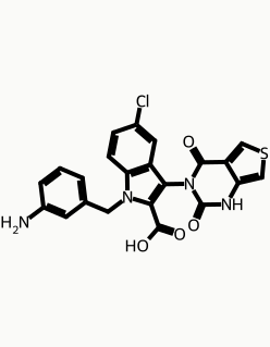 Nc1cccc(Cn2c(C(=O)O)c(-n3c(=O)[nH]c4cscc4c3=O)c3cc(Cl)ccc32)c1